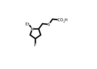 CCN1CC(F)CC1CSCC(=O)O